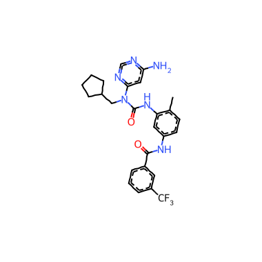 Cc1ccc(NC(=O)c2cccc(C(F)(F)F)c2)cc1NC(=O)N(CC1CCCC1)c1cc(N)ncn1